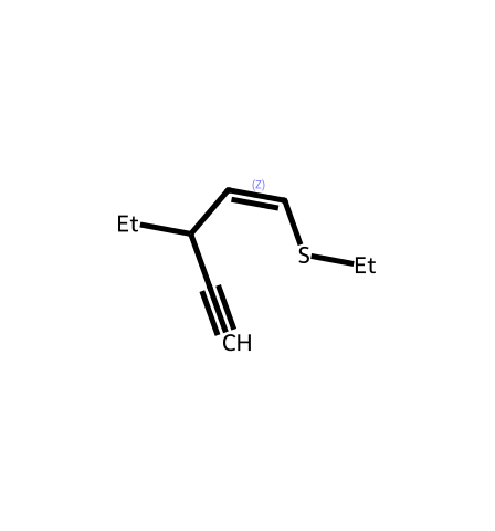 C#CC(/C=C\SCC)CC